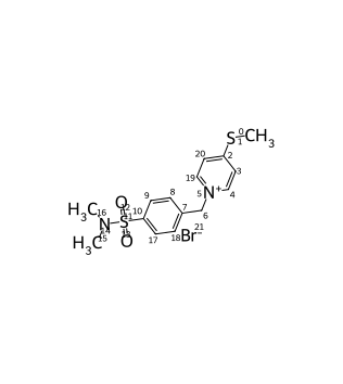 CSc1cc[n+](Cc2ccc(S(=O)(=O)N(C)C)cc2)cc1.[Br-]